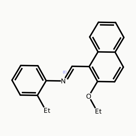 CCOc1ccc2ccccc2c1/C=N/c1ccccc1CC